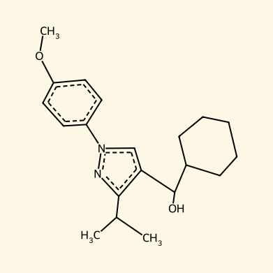 COc1ccc(-n2cc(C(O)C3CCCCC3)c(C(C)C)n2)cc1